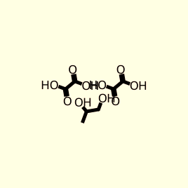 CC(O)CO.O=C(O)C(=O)O.O=C(O)C(=O)O